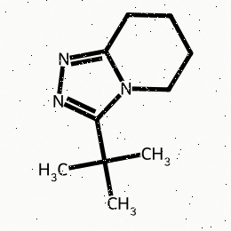 CC(C)(C)c1nnc2n1CCCC2